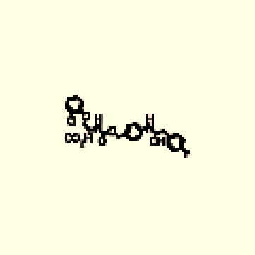 O=C(N[C@@H](COc1ccccc1Cl)C(=O)O)OCc1ccc(NC(O)Cc2ccc(F)cc2)cc1